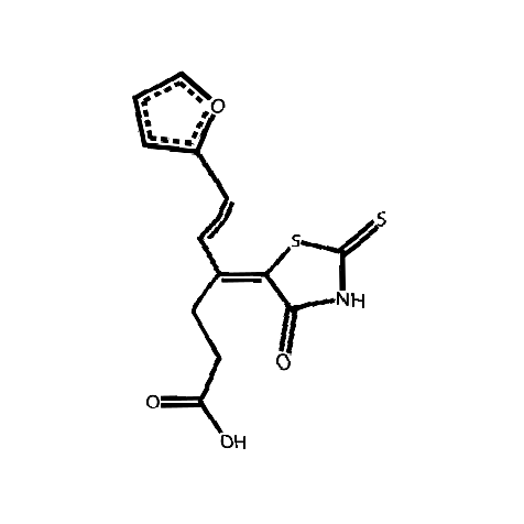 O=C(O)CCC(C=Cc1ccco1)=C1SC(=S)NC1=O